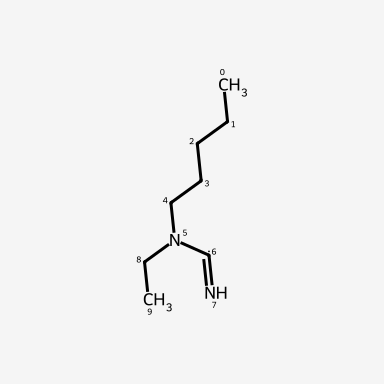 CCCCCN([C]=N)CC